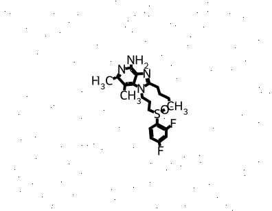 CCCCc1nc2c(N)nc(C)c(C)c2n1CCC[S+]([O-])c1ccc(F)cc1F